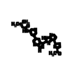 CC(=O)c1ccc(-c2ccnc3[nH]c(-c4n[nH]c5ncc(-c6cncc(NC(=O)CN(C)C)c6)cc45)nc23)s1